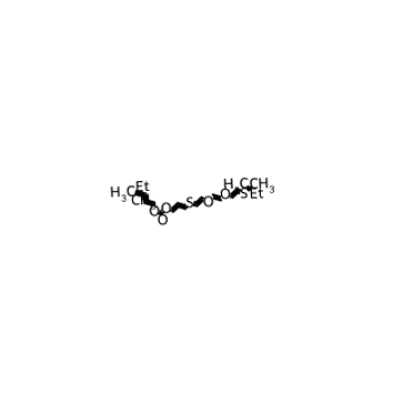 CCC(C)(C)CCCOC(=O)OCCCSCCOCCOCCSC(C)(C)CC